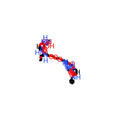 C=C(/C=C\C=C/C)[C@H](NC(=O)[C@@H]1CC[C@@H]2CC[C@H](CO)[C@H](NC(O)[C@H](C)NC)CC(=O)N21)C(=O)NCCCOCCOCCOCCCn1cc(CCC(=O)NC[C@H]2CC[C@H]3CC[C@@H](C(=O)NCc4ccccc4)N3C(=O)[C@H]2NC(=O)[C@H](C)NC)nn1